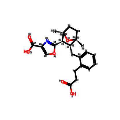 O=C(O)CCc1ccccc1C[C@@H]1[C@H](c2nc(C(=O)O)co2)[C@H]2CC[C@@H]1O2